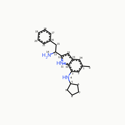 Cc1cc(NC2CCCC2)c2[nH]c(C(N)Cc3ccccc3)cc2c1